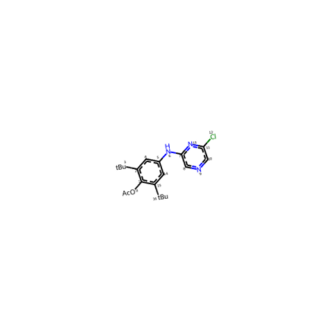 CC(=O)Oc1c(C(C)(C)C)cc(Nc2cncc(Cl)n2)cc1C(C)(C)C